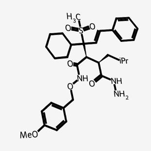 COc1ccc(CONC(=O)[C@H]([C@@H](CC(C)C)C(=O)NN)C(/C=C/c2ccccc2)(C2CCCCC2)S(C)(=O)=O)cc1